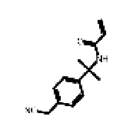 C=CC(=O)NC(C)(C)c1ccc(CC#N)cc1